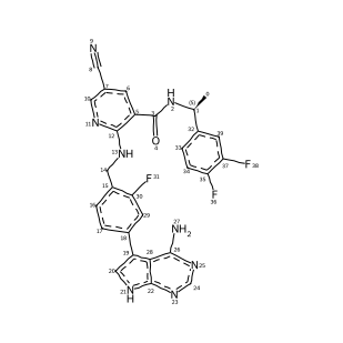 C[C@H](NC(=O)c1cc(C#N)cnc1NCc1ccc(-c2c[nH]c3ncnc(N)c23)cc1F)c1ccc(F)c(F)c1